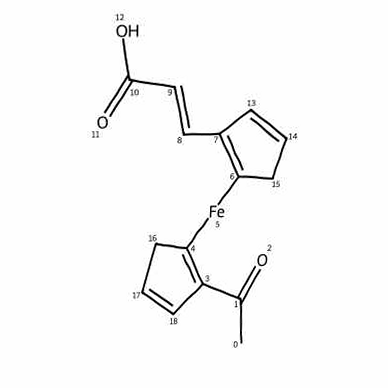 CC(=O)C1=[C]([Fe][C]2=C(/C=C/C(=O)O)C=CC2)CC=C1